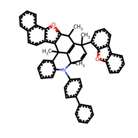 CC1C2=C3C(C)(c4ccccc4N(c4ccc(-c5ccccc5)cc4)C3(C)C=CC2(C)c2cccc3c2oc2ccccc23)c2c1oc1c2ccc2ccccc21